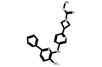 CC(C)(C)OC(=O)N1CC(c2ccc(Nc3nc(-c4ccccc4)ccc3[N+](=O)[O-])cn2)C1